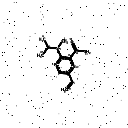 C=Cc1cnc(N(C)C(C)C)c(C(N)=O)n1